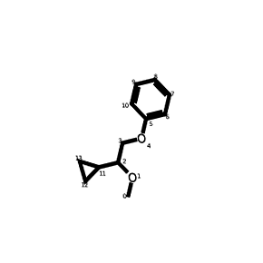 COC(COc1cc[c]cc1)C1CC1